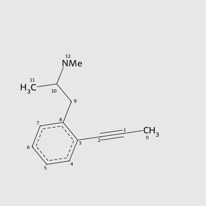 CC#Cc1ccccc1CC(C)NC